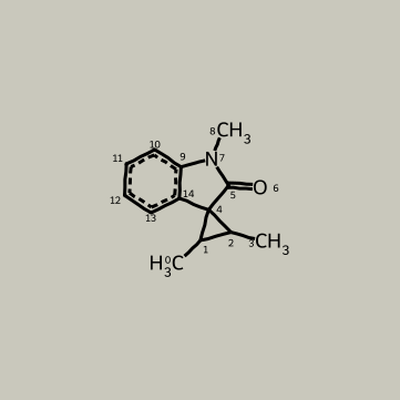 CC1C(C)C12C(=O)N(C)c1ccccc12